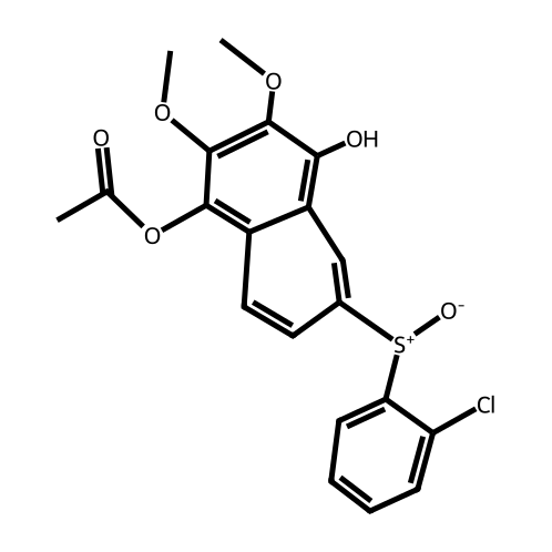 COc1c(OC)c(OC(C)=O)c2ccc([S+]([O-])c3ccccc3Cl)cc2c1O